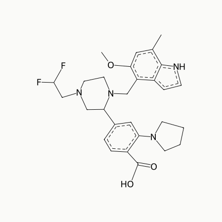 COc1cc(C)c2[nH]ccc2c1CN1CCN(CC(F)F)CC1c1ccc(C(=O)O)c(N2CCCC2)c1